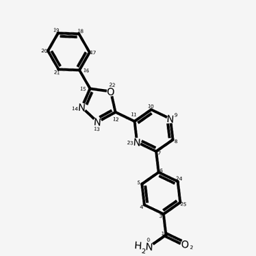 NC(=O)c1ccc(-c2cncc(-c3nnc(-c4ccccc4)o3)n2)cc1